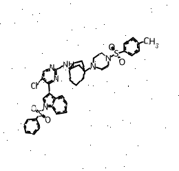 Cc1ccc(S(=O)(=O)N2CCN(C34CCCC(Nc5ncc(Cl)c(-c6cn(S(=O)(=O)c7ccccc7)c7ccccc67)n5)(CC3)C4)CC2)cc1